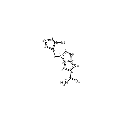 CCn1cncc1Cn1cnc2sc(C(N)=O)cc21